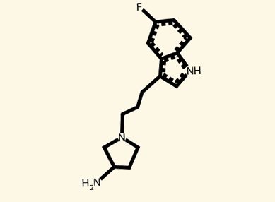 NC1CCN(CCCc2c[nH]c3ccc(F)cc23)C1